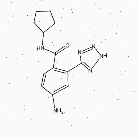 Nc1ccc(C(=O)NC2CCCC2)c(-c2nn[nH]n2)c1